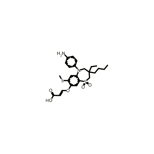 CCCCC1(CC)CN(c2ccc(N)cc2)c2cc(SC)c(O/C=C/C(=O)O)cc2S(=O)(=O)C1